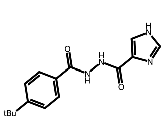 CC(C)(C)c1ccc(C(=O)NNC(=O)c2c[nH]cn2)cc1